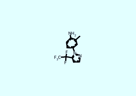 Cc1cc(-n2nccc2C(F)(F)C(F)(F)F)ccc1N